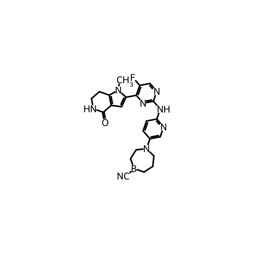 Cn1c(-c2nc(Nc3ccc(N4CCCB(C#N)CC4)cn3)ncc2F)cc2c1CCNC2=O